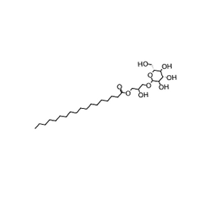 CCCCCCCCCCCCCCCCCC(=O)OCC(O)COC1O[C@H](CO)[C@@H](O)[C@H](O)[C@H]1O